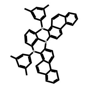 Cc1cc(C)cc(N2c3cccc4c3B(c3ccc5c(ccc6ccccc65)c32)c2ccc3c(ccc5ccccc53)c2N4c2cc(C)cc(C)c2)c1